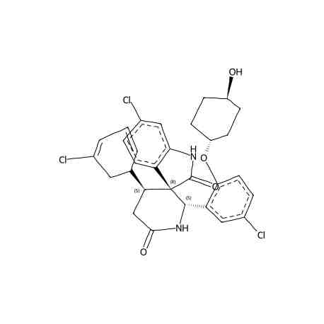 O=C1C[C@@H](C2C=CC=C(Cl)C2)[C@]2(C(=O)Nc3cc(Cl)ccc32)[C@H](c2cc(Cl)ccc2O[C@H]2CC[C@H](O)CC2)N1